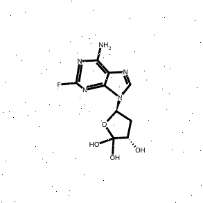 Nc1nc(F)nc2c1ncn2[C@H]1C[C@H](O)C(O)(O)O1